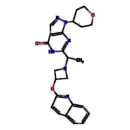 CC(c1nc2c(cnn2C2CCOCC2)c(=O)[nH]1)N1CC(Oc2ccc3ccccc3n2)C1